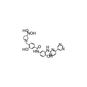 O=C(Nc1ccc(O)c(Nc2nccc(-c3cncnc3)n2)c1)c1ccc(CN2CCC(N(O)O)C2)c(O)c1